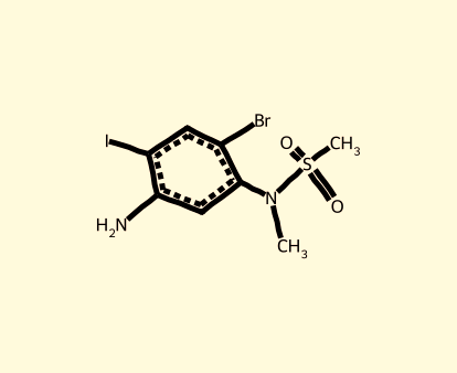 CN(c1cc(N)c(I)cc1Br)S(C)(=O)=O